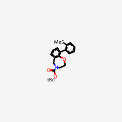 CSc1ccccc1-c1cccc2c1OCCN(C(=O)OC(C)(C)C)C2